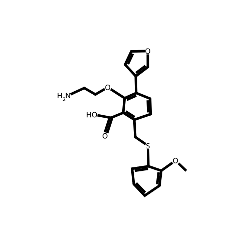 COc1ccccc1SCc1ccc(-c2ccoc2)c(OCCN)c1C(=O)O